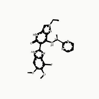 CCn1cc2[nH]c(=O)c(-c3nc4c(F)c(OC)c(OC)cc4[nH]3)c(N[C@@H](C)c3ncccn3)c2n1